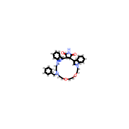 O=C1NC(=O)C2=C1c1cn(c3ccccc13)CCOCCOCCN(Cc1ccccc1)CCn1nc2c2ccccc21